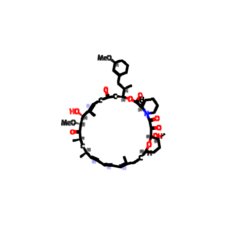 CO[C@H]1CCCC(C[C@@H](C)[C@@H]2CC(=O)C/C=C(\C)[C@@H](O)[C@@H](OC)C(=O)[C@H](C)C[C@H](C)/C=C/C=C/C=C(\C)CC[C@@H]3CC[C@@H](C)[C@@](O)(O3)C(=O)C(=O)N3CCCC[C@H]3C(=O)O2)C1